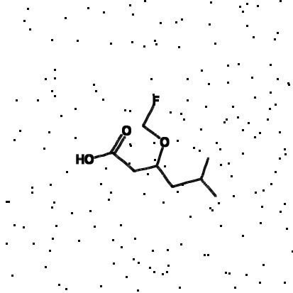 CC(C)CC(CC(=O)O)OCF